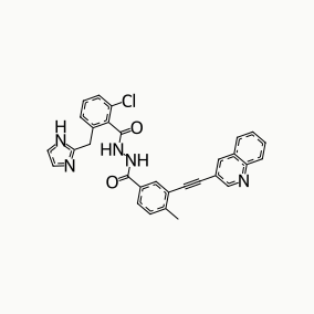 Cc1ccc(C(=O)NNC(=O)c2c(Cl)cccc2Cc2ncc[nH]2)cc1C#Cc1cnc2ccccc2c1